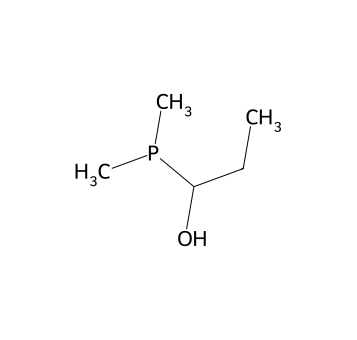 CCC(O)P(C)C